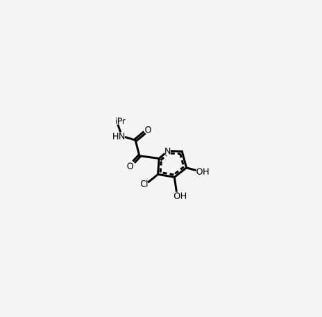 CC(C)NC(=O)C(=O)c1ncc(O)c(O)c1Cl